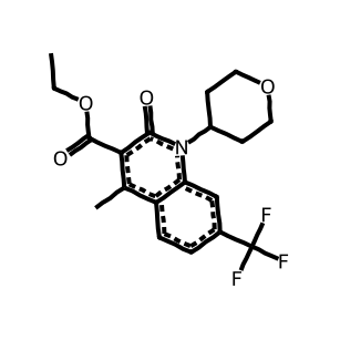 CCOC(=O)c1c(C)c2ccc(C(F)(F)F)cc2n(C2CCOCC2)c1=O